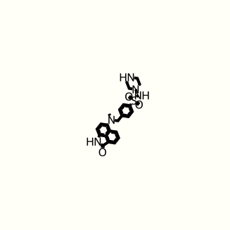 CN(Cc1ccc(S(=O)(=O)NN2CCNCC2)cc1)c1ccc2c3c(cccc13)C(=O)N2